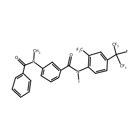 CN(C(=O)c1ccccc1)c1cccc(C(=O)N(I)c2ccc(C(F)(C(F)(F)F)C(F)(F)F)cc2C(F)(F)F)c1